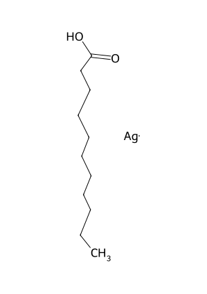 CCCCCCCCCCC(=O)O.[Ag]